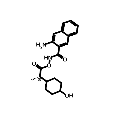 C[C@H](C(=O)ONC(=O)c1cc2ccccc2cc1N)C1CCC(O)CC1